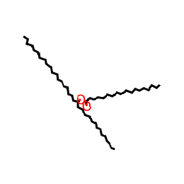 CCCCCCCCCCCCCCCCCCCC(CCCCCCCCCCCCCC)OC(=O)CCCCCCCCCCCCCCCCC